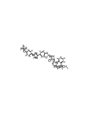 Cc1csc(=NC(=O)NC2Cc3ccc(-c4ncn(-c5ccc(OC(F)(F)F)cc5)n4)cc3C2)n1-c1ccccc1C(C)C